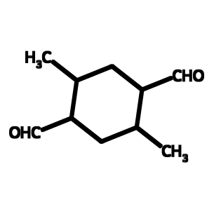 CC1CC(C=O)C(C)CC1C=O